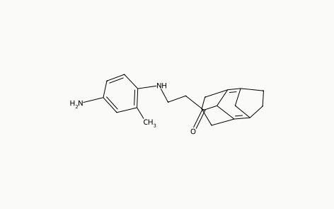 Cc1cc(N)ccc1NCCC(=O)C1C2=C3CCC(=C1CCC2)C3